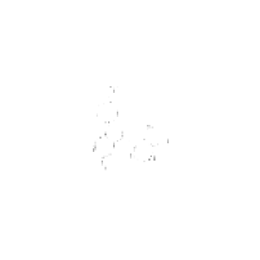 CN1CCN(c2ccc(N)cc2Nc2ncnc(Cl)c2N)CC1